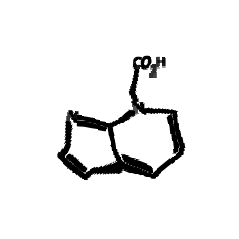 O=C(O)n1cccc2ccnc1-2